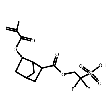 C=C(C)C(=O)OC1CC2CC(C(=O)OCC(F)(F)S(=O)(=O)O)C1C2